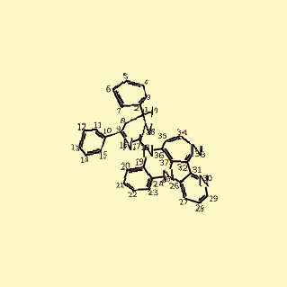 IC1(c2ccccc2)CC(c2ccccc2)=NC(N2c3ccccc3-n3c4cccnc4c4nccc2c43)=N1